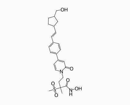 CC(CCn1ccc(-c2ccc(C=CC3CCC(CO)C3)cc2)cc1=O)(C(=O)NO)S(C)(=O)=O